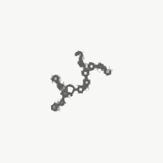 C=C1/C=C(c2ccc3oc4ccc(-c5ccc6c(c5)c5cc(-c7ccc(-c8ccccn8)o7)ccc5n6-c5ccc(-c6ccccn6)o5)cc4c3c2)\C=C/CN(c2ccc(-c3ccccn3)o2)c2ccc(-c3ccc(-c4ccccn4)o3)cc21